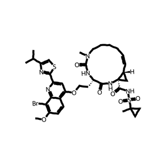 COc1ccc2c(OCC[C@@H]3NC(=O)N(C)CCCC/C=C\[C@@H]4C[C@@]4(C(=O)NS(=O)(=O)C4(C)CC4)NC3=O)cc(-c3nc(C(C)C)cs3)nc2c1Br